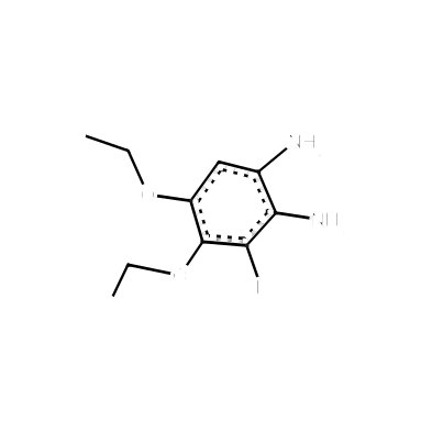 CCOc1cc(N)c(N)c(F)c1OCC